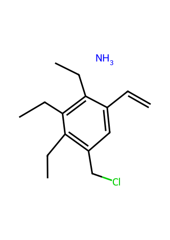 C=Cc1cc(CCl)c(CC)c(CC)c1CC.N